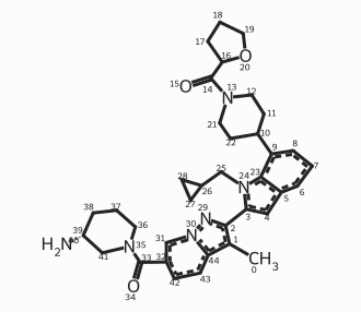 Cc1c(-c2cc3cccc(C4CCN(C(=O)C5CCCO5)CC4)c3n2CC2CC2)nn2cc(C(=O)N3CCC[C@@H](N)C3)ccc12